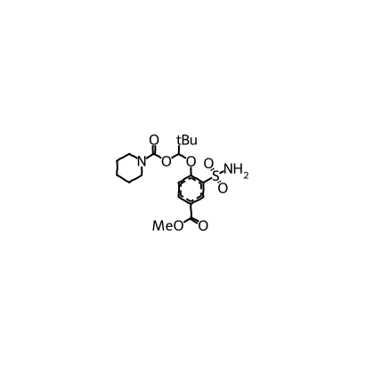 COC(=O)c1ccc(OC(OC(=O)N2CCCCC2)C(C)(C)C)c(S(N)(=O)=O)c1